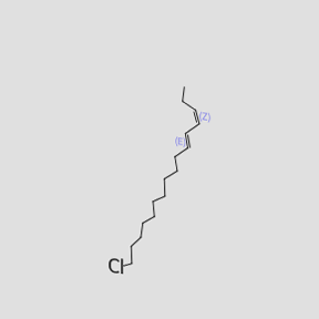 CC/C=C\C=C\CCCCCCCCCCCl